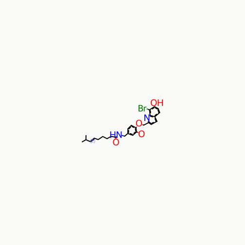 COc1cc(CNC(=O)CCCC/C=C/C(C)C)ccc1OCc1ccc2ccc(O)c(Br)c2n1